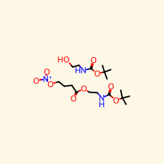 CC(C)(C)OC(=O)NCCO.CC(C)(C)OC(=O)NCCOC(=O)CCCO[N+](=O)[O-]